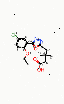 CCOc1ccc(Cl)cc1-c1nnc(CC(C)(C)CC(=O)O)o1